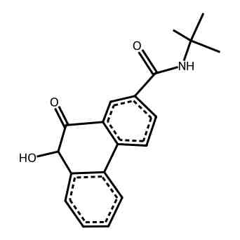 CC(C)(C)NC(=O)c1ccc2c(c1)C(=O)C(O)c1ccccc1-2